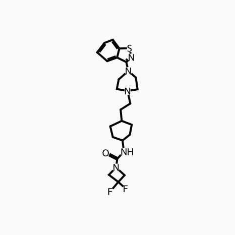 O=C(NC1CCC(CCN2CCN(c3nsc4ccccc34)CC2)CC1)N1CC(F)(F)C1